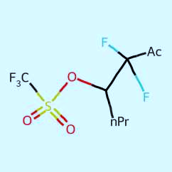 CCCC(OS(=O)(=O)C(F)(F)F)C(F)(F)C(C)=O